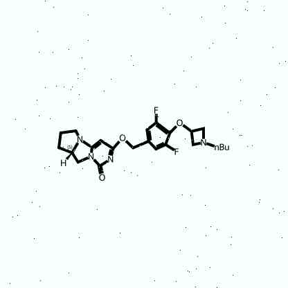 CCCCN1CC(Oc2c(F)cc(COc3cc4n(c(=O)n3)C[C@@H]3CCCN43)cc2F)C1